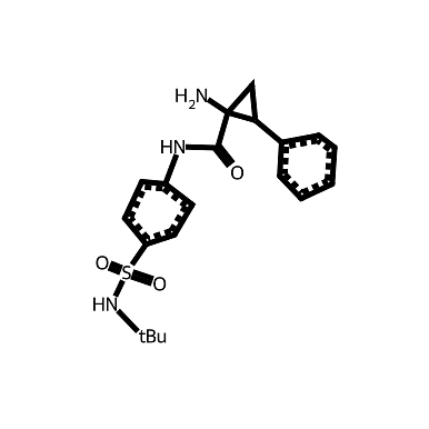 CC(C)(C)NS(=O)(=O)c1ccc(NC(=O)C2(N)CC2c2ccccc2)cc1